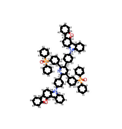 O=P(c1ccccc1)(c1ccccc1)c1cccc(-c2cc(-c3ccc(-n4c5ccccc5c5c6oc7ccccc7c6ccc54)cc3)c(-c3cccc(P(=O)(c4ccccc4)c4ccccc4)c3)nc2-c2ccc(-n3c4ccccc4c4c5oc6ccccc6c5ccc43)cc2)c1